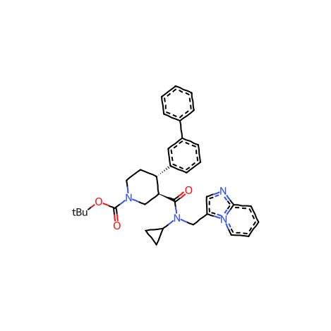 CC(C)(C)OC(=O)N1CC[C@H](c2cccc(-c3ccccc3)c2)[C@@H](C(=O)N(Cc2cnc3ccccn23)C2CC2)C1